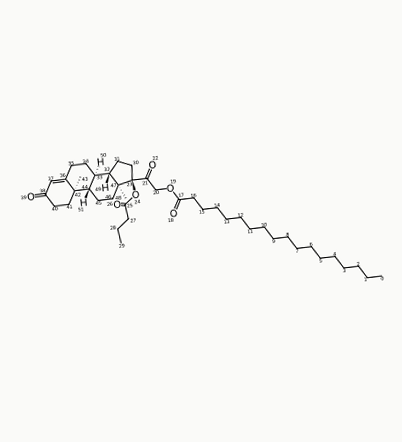 CCCCCCCCCCCCCCCCCC(=O)OCC(=O)[C@@]1(OC(=O)CCC)CC[C@H]2[C@@H]3CCC4=CC(=O)CC[C@]4(C)[C@H]3CC[C@@]21C